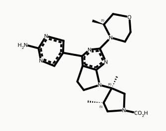 C[C@H]1COCCN1c1nc(-c2cnc(N)nc2)c2c(n1)N([C@@]1(C)CN(C(=O)O)C[C@@H]1C)CC2